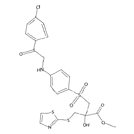 COC(=O)C(O)(CSc1nccs1)CS(=O)(=O)c1ccc(NCC(=O)c2ccc(Cl)cc2)cc1